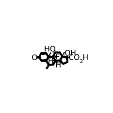 CC1C[C@H]2[C@@H]3CC[C@](O)(C(=O)O)[C@@]3(C)C[C@H](O)[C@]2(F)[C@@]2(C)C=CC(=O)C=C12